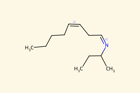 CCCC/C=C\C/C=N\C(C)CC